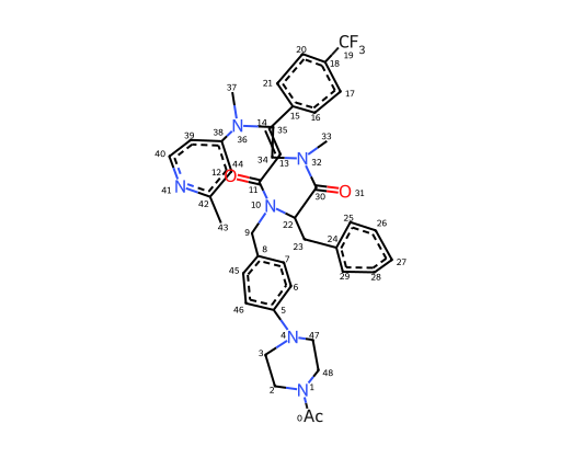 CC(=O)N1CCN(c2ccc(CN(C(=O)C=Cc3ccc(C(F)(F)F)cc3)C(Cc3ccccc3)C(=O)N(C)CCN(C)c3ccnc(C)c3)cc2)CC1